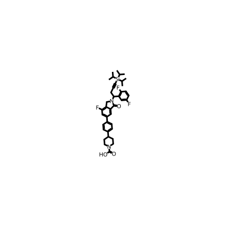 CC(C)[Si](C#CCC(c1cc(F)ccc1F)N1Cc2c(F)cc(-c3ccc(C4CCN(C(=O)O)CC4)cc3)cc2C1=O)(C(C)C)C(C)C